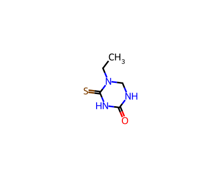 CCN1CNC(=O)NC1=S